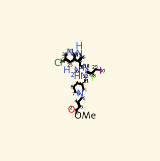 COC(=O)/C=C/CN1CCC[C@@H](CNC(/N=C(\N)c2c[nH]c3ncc(Cl)cc23)=C(\F)CI)C1